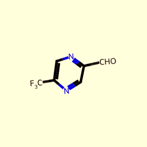 O=Cc1cnc(C(F)(F)F)cn1